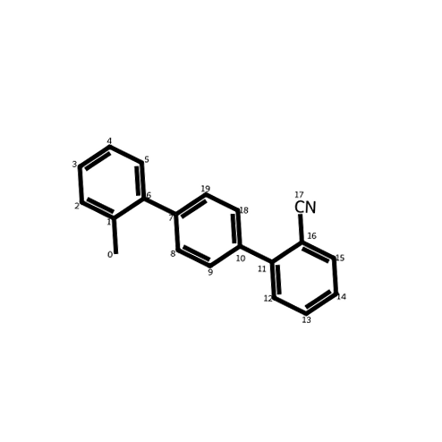 Cc1ccccc1-c1ccc(-c2ccccc2C#N)cc1